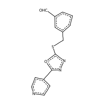 O=Cc1cccc(CSc2nnc(-c3ccncc3)o2)c1